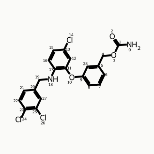 NC(=O)OCc1cccc(Oc2cc(Cl)ccc2NCc2ccc(Cl)c(Cl)c2)c1